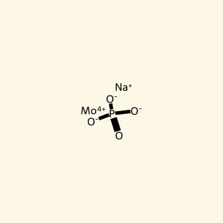 O=P([O-])([O-])[O-].[Mo+4].[Na+]